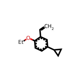 C=Cc1cc(C2CC2)ccc1OCC